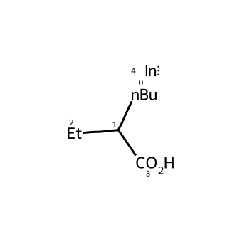 CCCCC(CC)C(=O)O.[In]